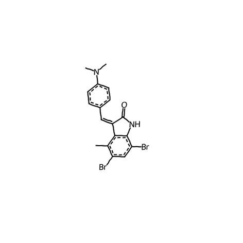 Cc1c(Br)cc(Br)c2c1C(=Cc1ccc(N(C)C)cc1)C(=O)N2